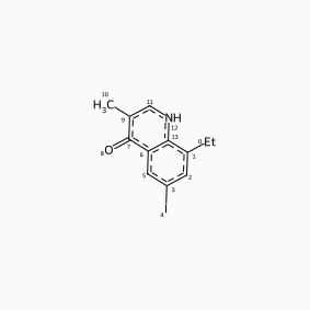 CCc1cc(I)cc2c(=O)c(C)c[nH]c12